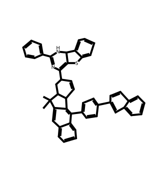 CC1(C)c2cc3ccccc3c(-c3ccc(-c4ccc5ccccc5c4)cc3)c2C2C=CC(C3=C4Sc5ccccc5C4NC(c4ccccc4)=N3)CC21